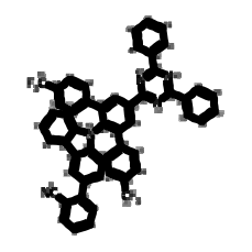 N#Cc1ccccc1-c1ccc2c(c1)c1ccccc1n2-c1c(-c2ccc(C(F)(F)F)cc2)cc(-c2nc(-c3ccccc3)nc(-c3ccccc3)n2)cc1-c1ccc(C(F)(F)F)cc1